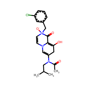 CC(=O)N(CC(C)C)C1=CN2C=C[N+]([O-])(Cc3cccc(Cl)c3)C(=O)C2=C(O)C1